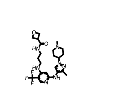 Cc1nn(C2CCN(C)CC2)cc1Nc1cc(NCCCNC(=O)C2COC2)c(C(F)(F)F)cn1